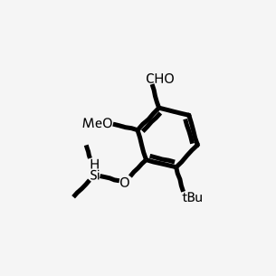 COc1c(C=O)ccc(C(C)(C)C)c1O[SiH](C)C